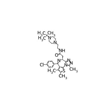 Cc1sc2c(c1C)C(c1ccc(Cl)cc1)=N[C@@H](CC(=O)NCCN1CCN(C(C)(C)C)CC1)c1nnc(C)n1-2